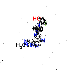 Cn1cc(-c2cc3c(-c4ccc(N5C[C@H]6CN(Cc7cc(F)ccc7O)C[C@H]6C5)nc4)c(C#N)cnc3[nH]2)cn1